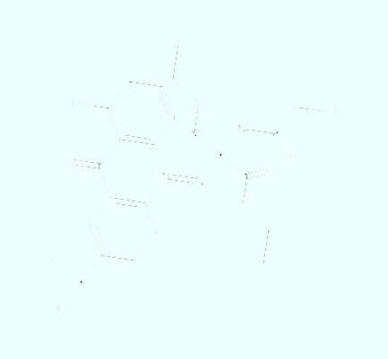 CCOC(=O)C(N=Nc1ccc(C(F)(F)F)cc1C(=O)c1ccccc1F)(NC(=O)CCl)C(=O)OCC